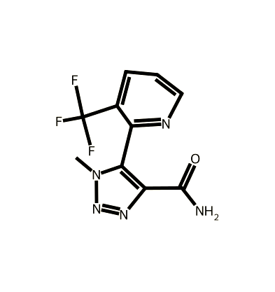 Cn1nnc(C(N)=O)c1-c1ncccc1C(F)(F)F